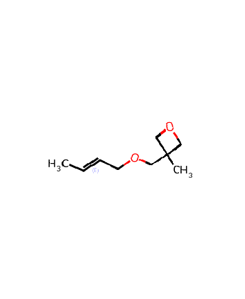 C/C=C/COCC1(C)COC1